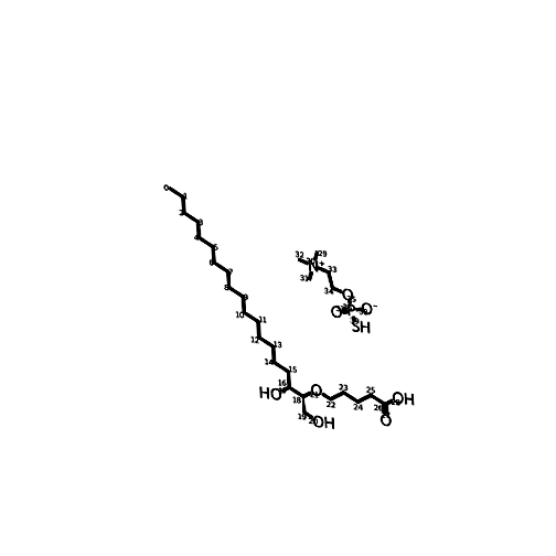 CCCCCCCCCCCCCCCCC(O)[C@H](CO)OCCCCC(=O)O.C[N+](C)(C)CCOP(=O)([O-])S